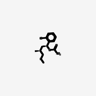 COC[C@H](C)C[C@@H](OC(N)=O)c1ccccc1Cl